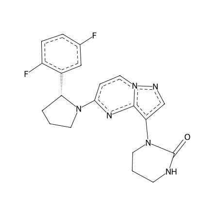 O=C1NCCCN1c1cnn2ccc(N3CCC[C@@H]3c3cc(F)ccc3F)nc12